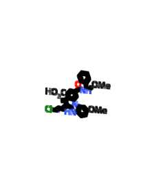 C=C(/C(=C\C=C\Cl)c1nc2cc(OC)ccc2[nH]1)c1ccc(C(=O)N[C@H](COC)c2ccccc2)cc1C(=O)O